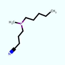 CCCCCP(C)CCCC#N